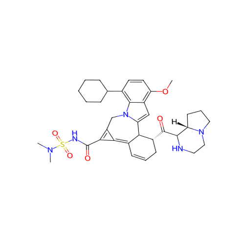 COc1ccc(C2CCCCC2)c2c1cc1n2CC2=C(C(=O)NS(=O)(=O)N(C)C)C2=C2C=CC[C@@H](C(=O)C3NCCN4CCC[C@@H]34)C21